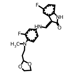 CN(CCC1OCCO1)c1ccc(N/C=C2/C(=O)Nc3ccc(F)cc32)cc1F